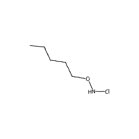 CCCCCONCl